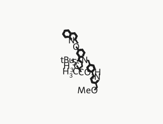 COCc1ccc(-c2ccc(Cn3c(CC(C)(C)C(=O)O)c(SC(C)(C)C)c4cc(OCc5ccc6ccccc6n5)ccc43)cc2)nc1